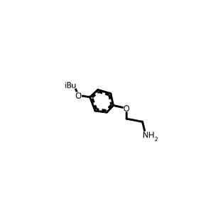 CCC(C)Oc1ccc(OCCN)cc1